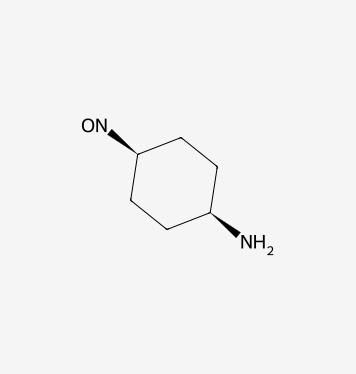 N[C@H]1CC[C@@H](N=O)CC1